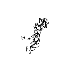 C[C@]1(c2ccc(OC(F)(F)F)cc2)CC(Oc2ccc(-c3ncco3)nc2)=NO1